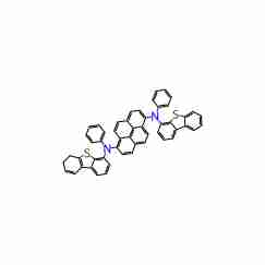 C1=Cc2c(sc3c(N(c4ccccc4)c4ccc5ccc6c(N(c7ccccc7)c7cccc8c7sc7ccccc78)ccc7ccc4c5c76)cccc23)CC1